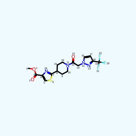 COC(=O)c1csc(C2CCN(C(=O)Cn3ccc(C(F)(F)F)n3)CC2)n1